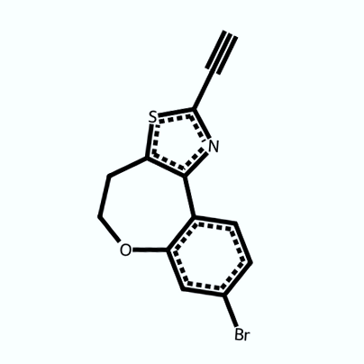 C#Cc1nc2c(s1)CCOc1cc(Br)ccc1-2